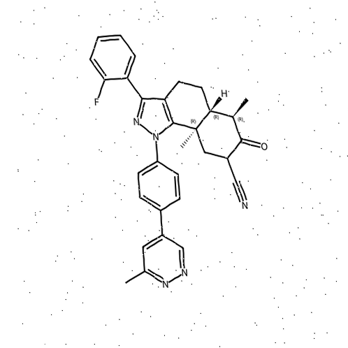 Cc1cc(-c2ccc(-n3nc(-c4ccccc4F)c4c3[C@]3(C)CC(C#N)C(=O)[C@H](C)[C@H]3CC4)cc2)cnn1